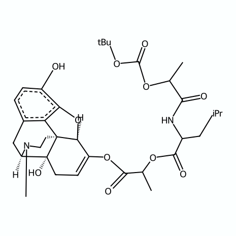 CC(C)CC(NC(=O)C(C)OC(=O)OC(C)(C)C)C(=O)OC(C)C(=O)OC1=CC[C@@]2(O)[C@H]3Cc4ccc(O)c5c4[C@@]2(CCN3C)[C@H]1O5